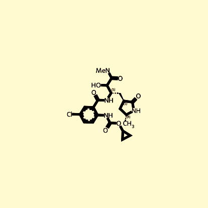 CNC(=O)C(O)[C@H](C[C@@H]1C[C@@H](C)NC1=O)NC(=O)c1cc(Cl)ccc1NC(=O)OC1CC1